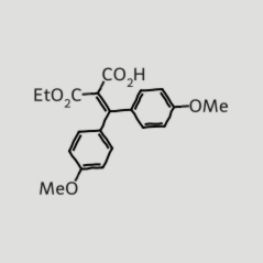 CCOC(=O)C(C(=O)O)=C(c1ccc(OC)cc1)c1ccc(OC)cc1